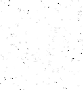 CCN(CC)C(=O)Oc1ccc(CC2CNCCN2C(=O)CCc2ccccc2Oc2ccccc2)cc1